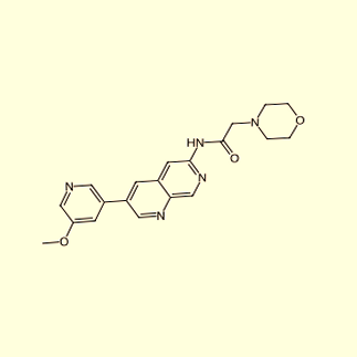 COc1cncc(-c2cnc3cnc(NC(=O)CN4CCOCC4)cc3c2)c1